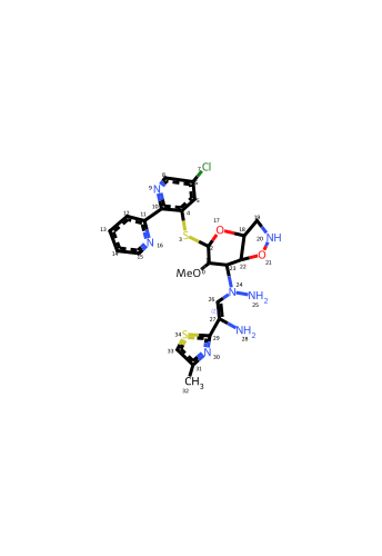 COC1C(Sc2cc(Cl)cnc2-c2ccccn2)OC2CNOC2C1N(N)/C=C(\N)c1nc(C)cs1